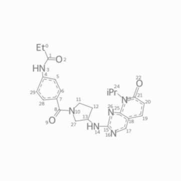 CCC(=O)Nc1ccc(C(=O)N2CCC(Nc3ncc4ccc(=O)n(C(C)C)c4n3)C2)cc1